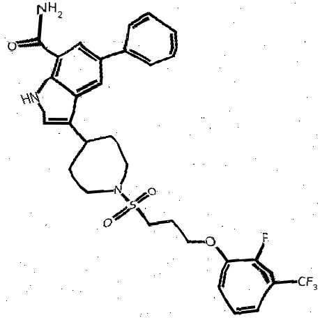 NC(=O)c1cc(-c2ccccc2)cc2c(C3CCN(S(=O)(=O)CCCOc4cccc(C(F)(F)F)c4F)CC3)c[nH]c12